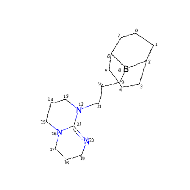 C1CC2CCCC(C1)B2CCCN1CCCN2CCCN=C21